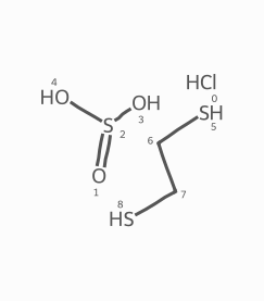 Cl.O=S(O)O.SCCS